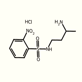 CC(N)CCNS(=O)(=O)c1ccccc1[N+](=O)[O-].Cl